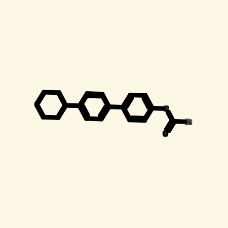 CCC(=O)Oc1ccc(-c2ccc(C3CCCCC3)cc2)cc1